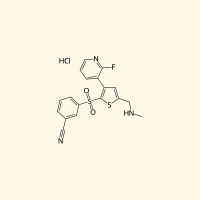 CNCc1cc(-c2cccnc2F)c(S(=O)(=O)c2cccc(C#N)c2)s1.Cl